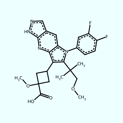 COCC(C)(C)c1c(C2CC(OC)(C(=O)O)C2)c2nc3[nH]ncc3cc2n1-c1ccc(F)c(F)c1